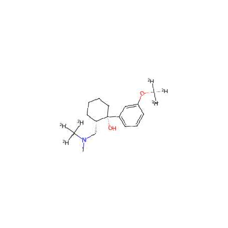 [2H]C([2H])([2H])Oc1cccc([C@]2(O)CCCC[C@H]2CN(C)C([2H])([2H])[2H])c1